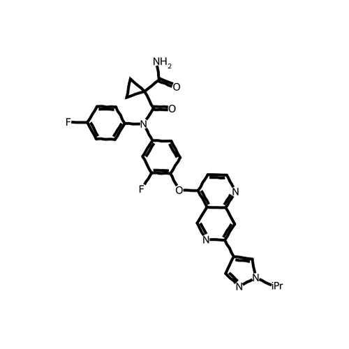 CC(C)n1cc(-c2cc3nccc(Oc4ccc(N(C(=O)C5(C(N)=O)CC5)c5ccc(F)cc5)cc4F)c3cn2)cn1